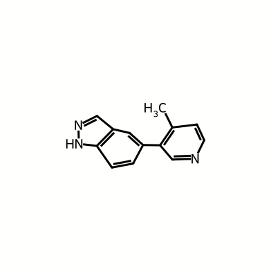 Cc1ccncc1-c1ccc2[nH]ncc2c1